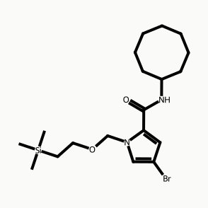 C[Si](C)(C)CCOCn1cc(Br)cc1C(=O)NC1CCCCCCC1